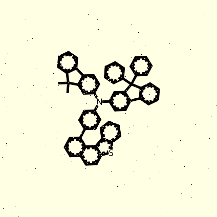 CC1(C)c2ccccc2-c2ccc(N(c3ccc(-c4cccc5ccc6sc7ccccc7c6c45)cc3)c3ccc4c(c3)C(c3ccccc3)(c3ccccc3)c3ccccc3-4)cc21